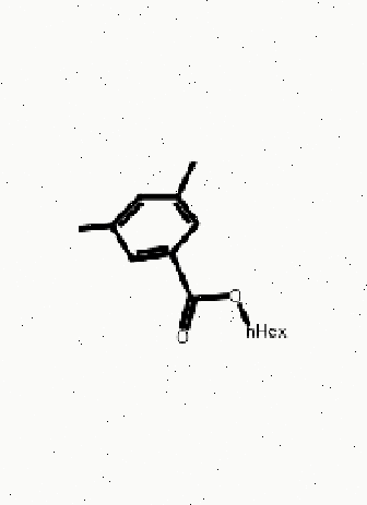 CCCCCCOC(=O)c1cc(C)cc(C)c1